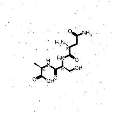 C[C@@H](NC(=O)[C@H](CO)NC(=O)[C@H](N)CC(N)=O)C(=O)O